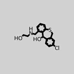 OCCNCc1cccc2c1C(O)c1ccc(Cl)cc1CS2